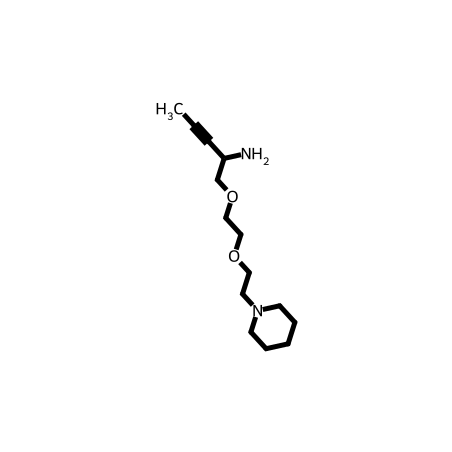 CC#CC(N)COCCOCCN1CCCCC1